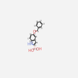 OB(O)c1cc2cc(OCc3ccccc3)ccc2[nH]1